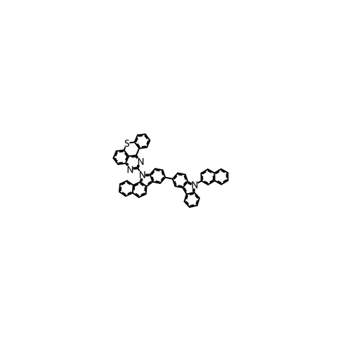 c1ccc2c(c1)Sc1cccc3nc(-n4c5ccc(-c6ccc7c(c6)c6ccccc6n7-c6ccc7ccccc7c6)cc5c5ccc6ccccc6c54)nc-2c13